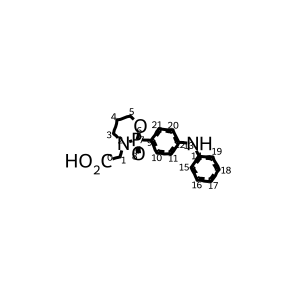 O=C(O)CN1CCCOP1(=O)c1ccc(Nc2ccccc2)cc1